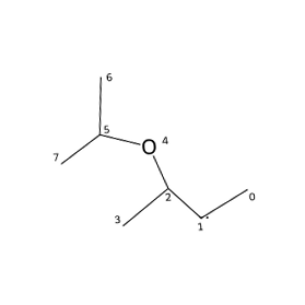 C[CH]C(C)OC(C)C